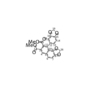 COC(=O)c1cc2ccc3c(c2c(-c2ccc4c(c2)OCO4)c1C(=O)OC)OCO3